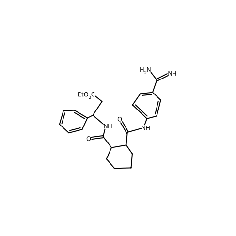 CCOC(=O)CC(NC(=O)C1CCCCC1C(=O)Nc1ccc(C(=N)N)cc1)c1ccccc1